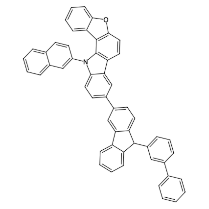 c1ccc(-c2cccc(C3c4ccccc4-c4cc(-c5ccc6c(c5)c5ccc7oc8ccccc8c7c5n6-c5ccc6ccccc6c5)ccc43)c2)cc1